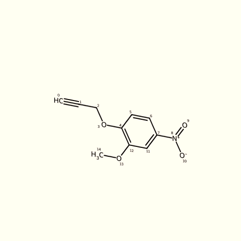 C#CCOc1ccc([N+](=O)[O-])cc1OC